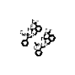 CC(=O)NC(COCc1cccc(C(F)(F)F)c1C(F)(F)F)c1ccccc1.O=CNC(COCc1cccc(C(F)(F)F)c1C(F)(F)F)c1ccccc1